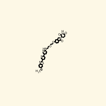 COc1ccc2nc(-c3ccc(-c4ccc(NCCOCCOc5ccc6c(c5)CN(C5CCC(=O)NC5=O)C6=O)nc4)nc3)sc2c1